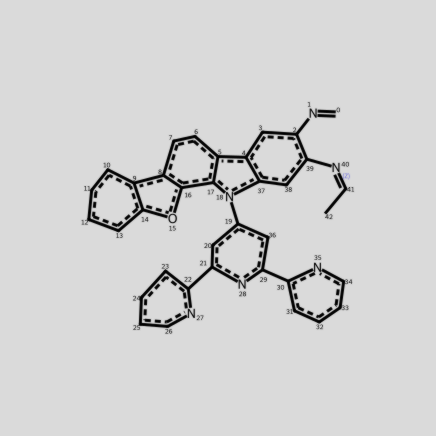 C=Nc1cc2c3ccc4c5ccccc5oc4c3n(-c3cc(-c4ccccn4)nc(-c4ccccn4)c3)c2cc1/N=C\C